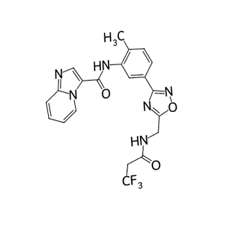 Cc1ccc(-c2noc(CNC(=O)CC(F)(F)F)n2)cc1NC(=O)c1cnc2ccccn12